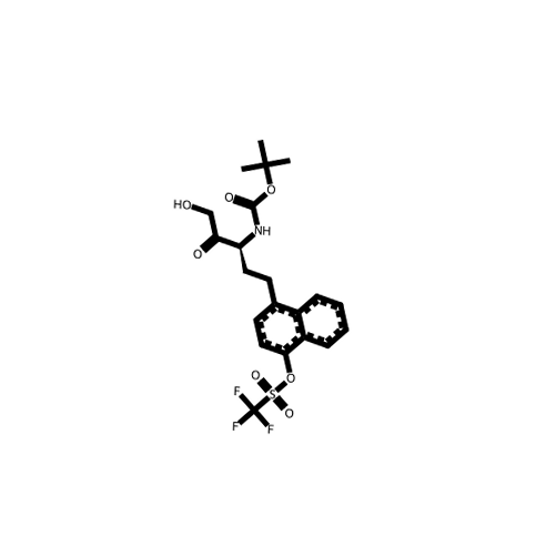 CC(C)(C)OC(=O)N[C@@H](CCc1ccc(OS(=O)(=O)C(F)(F)F)c2ccccc12)C(=O)CO